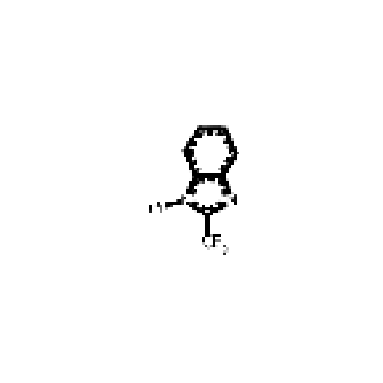 CC(C)n1c(C(F)(F)F)nc2ccccc21